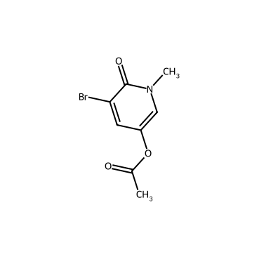 CC(=O)Oc1cc(Br)c(=O)n(C)c1